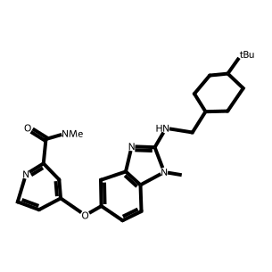 CNC(=O)c1cc(Oc2ccc3c(c2)nc(NCC2CCC(C(C)(C)C)CC2)n3C)ccn1